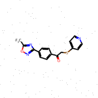 O=C(CSc1ccncc1)c1ccc(-c2noc(C(F)(F)F)n2)cc1